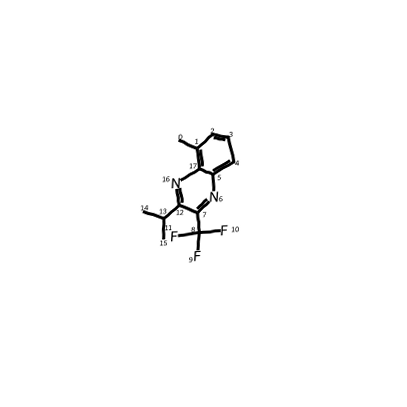 Cc1cccc2nc(C(F)(F)F)c(C(C)C)nc12